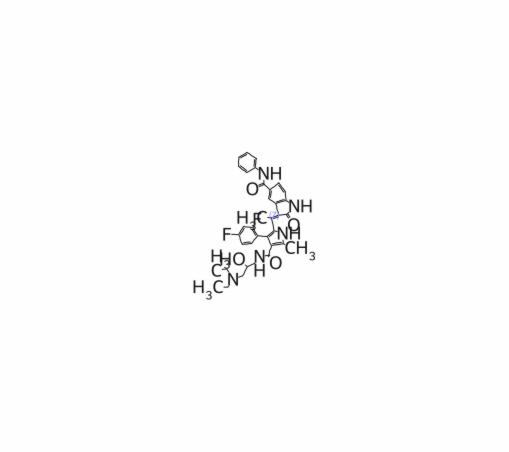 CCN(CC)CC(O)CNC(=O)c1c(C)[nH]c(/C(C)=C2\C(=O)Nc3ccc(C(=O)Nc4ccccc4)cc32)c1-c1ccc(F)cc1F